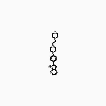 c1cnc2[nH]c(-c3ccc(N4CCN(CCN5CCOCC5)CC4)cc3)cc2n1